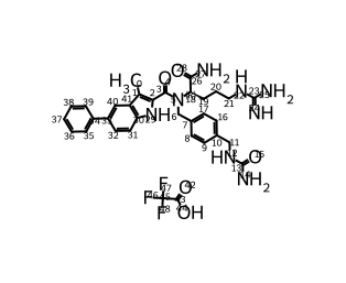 Cc1c(C(=O)N(Cc2ccc(CNC(N)=O)cc2)[C@H](CCCNC(=N)N)C(N)=O)[nH]c2ccc(-c3ccccc3)cc12.O=C(O)C(F)(F)F